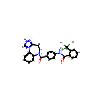 O=C(Nc1ccc(C(=O)N2CCc3nncn3-c3ccccc32)cc1)c1ccccc1C(F)(F)F